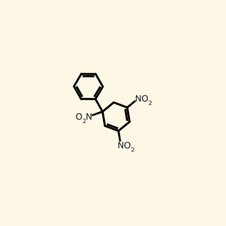 O=[N+]([O-])C1=CC(c2ccccc2)([N+](=O)[O-])CC([N+](=O)[O-])=C1